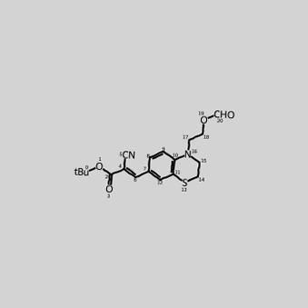 CC(C)(C)OC(=O)/C(C#N)=C/c1ccc2c(c1)SCCN2CCOC=O